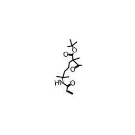 C=CC(=O)NC(C)(C)CCCC(C)(C(C)=O)C(=O)OC(C)(C)C